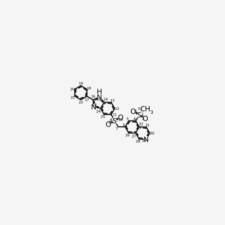 CS(=O)(=O)c1cc(CS(=O)(=O)c2ccc3[nH]c(-c4ccccc4)nc3c2)cc2cnccc12